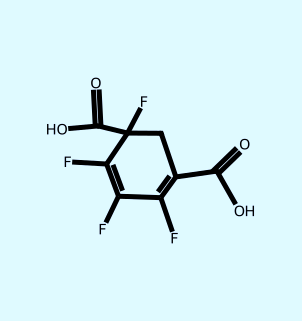 O=C(O)C1=C(F)C(F)=C(F)C(F)(C(=O)O)C1